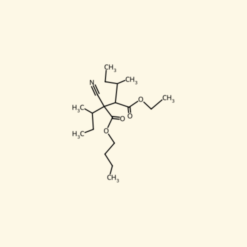 CCCCOC(=O)C(C#N)(C(C)CC)C(C(=O)OCC)C(C)CC